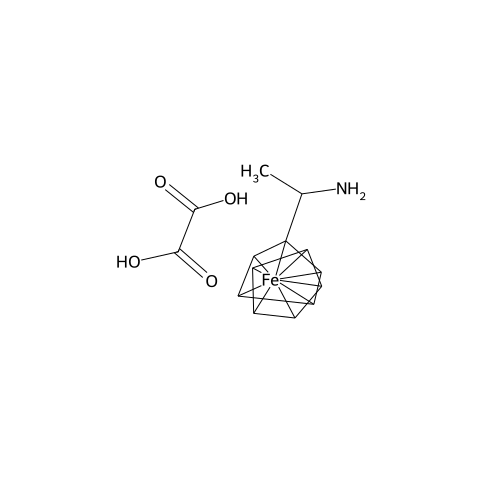 CC(N)[C]12[CH]3[CH]4[CH]5[CH]1[Fe]45321678[CH]2[CH]1[CH]6[CH]7[CH]28.O=C(O)C(=O)O